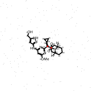 COc1cc(Nc2cc(CO)[nH]n2)nc(N(C)C2C[C@H]3CCC[C@@H](C2)N3S(=O)(=O)CC2CC2)n1